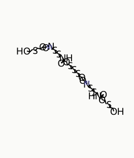 O=C(NCSCSC/N=C/OOCSCSCSCOC(=O)NCSCSC/N=C\OOCCSCCO)OCCSCCO